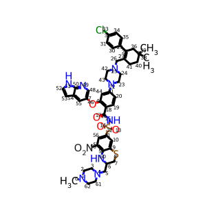 CN1CCN(CC2CSc3cc(S(=O)(=O)NC(=O)c4ccc(N5CCN(CC6=C(c7ccc(Cl)cc7)CC(C)(C)CC6)CC5)cc4Oc4cnc5[nH]ccc5c4)cc([N+](=O)[O-])c3N2)CC1